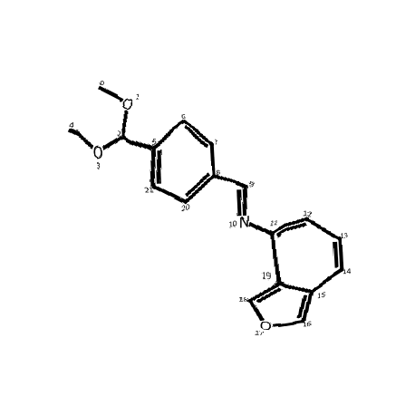 COC(OC)c1ccc(C=Nc2cccc3cocc23)cc1